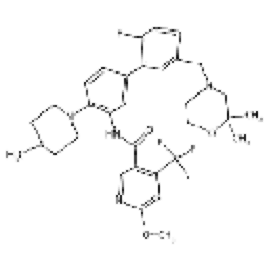 COc1cc(C(F)(F)F)c(C(=O)Nc2cc(-c3cc(CN4CCOC(C)(C)C4)ccc3F)ccc2N2CCN(C)CC2)cn1